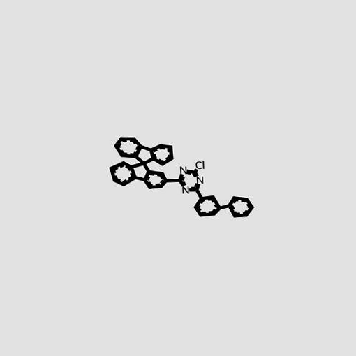 Clc1nc(-c2cccc(-c3ccccc3)c2)nc(-c2ccc3c(c2)C2(c4ccccc4-c4ccccc42)c2ccccc2-3)n1